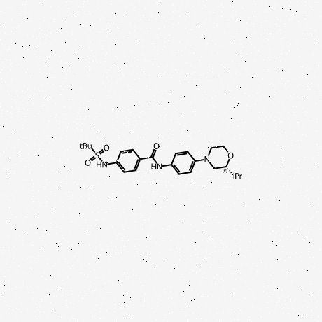 CC(C)[C@@H]1CN(c2ccc(NC(=O)c3ccc(NS(=O)(=O)C(C)(C)C)cc3)cc2)CCO1